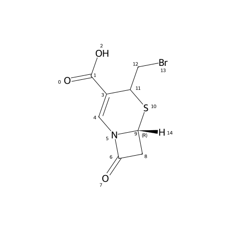 O=C(O)C1=CN2C(=O)C[C@H]2SC1CBr